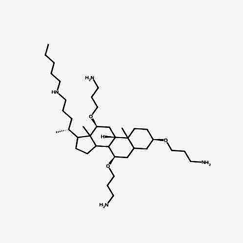 CCCCCNCCC[C@@H](C)C1CCC2C3[C@H](OCCCN)CC4C[C@H](OCCCN)CCC4(C)[C@H]3C[C@H](OCCCN)C21C